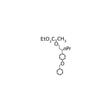 CCCC(CCOC(C)C(=O)OCC)c1ccc(OCc2ccccc2)cc1